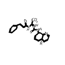 O=C(/C=C/c1ccccc1)NC(NC(=S)NC1CCC[C@@H]2C=CC=NC12)C(Cl)(Cl)Cl